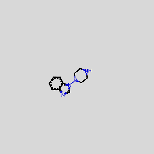 c1ccc2c(c1)ncn2N1CCNCC1